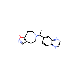 CC(c1ccc2nccnc2c1)N1CCc2cnoc2CC1